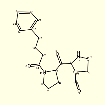 O=C[C@@H]1CSNC1C(=O)C1CCCN1C(=O)CCCc1ccccc1